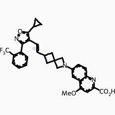 COc1cc(C(=O)O)nc2ccc(N3CC4(CC(/C=C/c5c(-c6ccccc6C(F)(F)F)noc5C5CC5)C4)C3)cc12